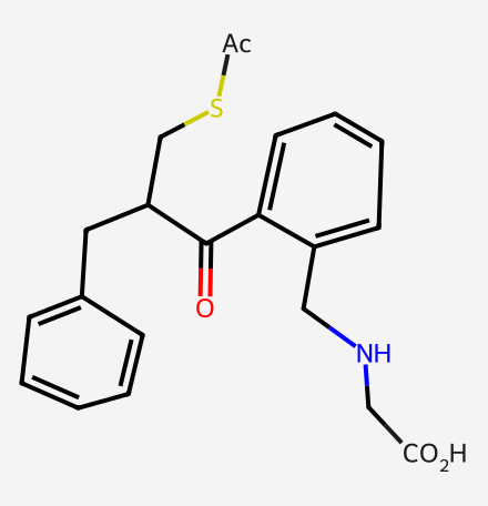 CC(=O)SCC(Cc1ccccc1)C(=O)c1ccccc1CNCC(=O)O